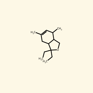 CCC1(CC)OCC2C(C)C=C(C)CC21